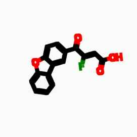 O=C(O)C=C(F)C(=O)c1ccc2oc3ccccc3c2c1